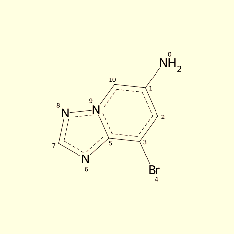 Nc1cc(Br)c2ncnn2c1